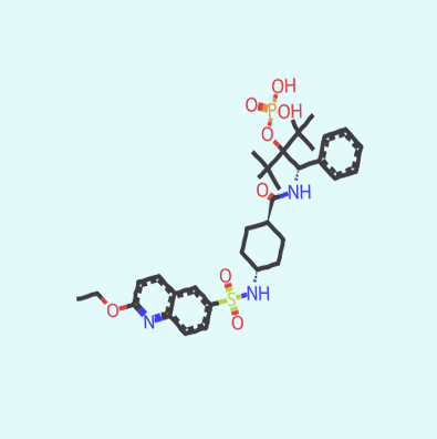 CCOc1ccc2cc(S(=O)(=O)N[C@H]3CC[C@H](C(=O)N[C@@H](c4ccccc4)C(OP(=O)(O)O)(C(C)(C)C)C(C)(C)C)CC3)ccc2n1